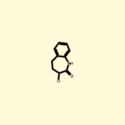 O=C1Nc2ccccc2CCC1Cl